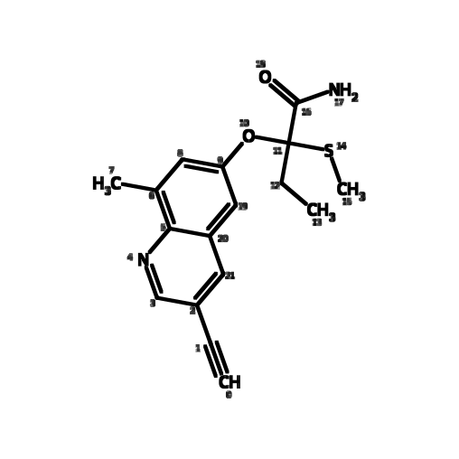 C#Cc1cnc2c(C)cc(OC(CC)(SC)C(N)=O)cc2c1